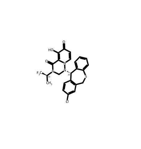 C[C@H](N1CN([C@H]2c3ccc(Cl)cc3CSc3ccccc32)n2ccc(=O)c(O)c2C1=O)C(F)(F)F